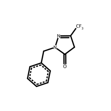 O=C1CC(C(F)(F)F)=NN1Cc1ccccc1